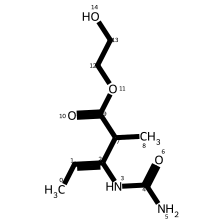 CC=C(NC(N)=O)C(C)C(=O)OCCO